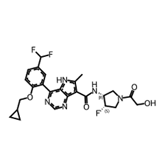 Cc1[nH]c2c(-c3cc(C(F)F)ccc3OCC3CC3)ncnc2c1C(=O)N[C@@H]1CN(C(=O)CO)C[C@@H]1F